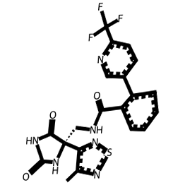 Cc1nsnc1[C@@]1(CNC(=O)c2ccccc2-c2ccc(C(F)(F)F)nc2)NC(=O)NC1=O